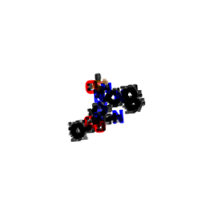 C[S+]([O-])c1nc2c(c(N3CCN(C(=O)OCc4ccccc4)[C@@H](CC#N)C3)n1)CCN(c1cccc3ccccc13)C2